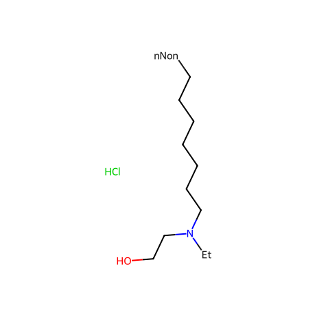 CCCCCCCCCCCCCCCCN(CC)CCO.Cl